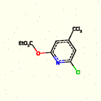 CCOC(=O)Oc1cc(C(Cl)(Cl)Cl)cc(Cl)n1